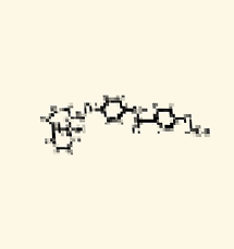 CCCCOc1ccc(C(=O)Nc2ccc(OC[C@@H]3CCCN4CCCC[C@H]34)cc2)cc1